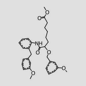 COC(=O)CCCCCC(OCc1cccc(OC)c1)C(=O)Nc1ccccc1Cc1cccc(OC)c1